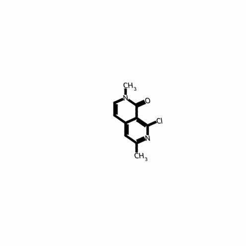 Cc1cc2ccn(C)c(=O)c2c(Cl)n1